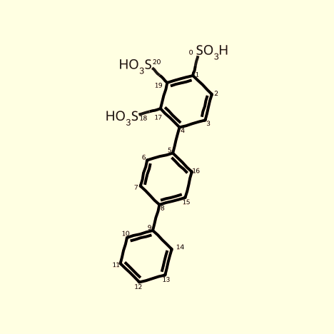 O=S(=O)(O)c1ccc(-c2ccc(-c3ccccc3)cc2)c(S(=O)(=O)O)c1S(=O)(=O)O